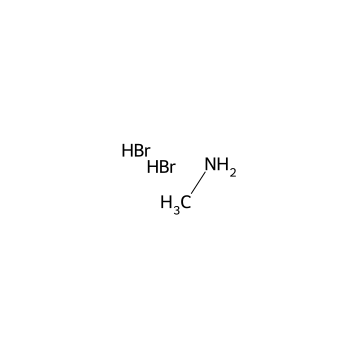 Br.Br.CN